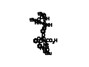 CC(C)(C)OC(=O)NCCN(CCNC(=O)OC(C)(C)C)C(=N)N1Cc2ccc(OC[C@H](O/N=C(\C(=O)O)c3csc(NC(=O)OC(C)(C)C)n3)C(=O)OC(c3ccccc3)c3ccccc3)cc2C1